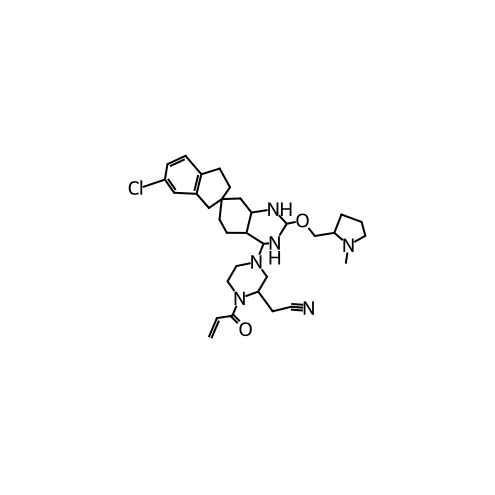 C=CC(=O)N1CCN(C2NC(OCC3CCCN3C)NC3CC4(CCc5ccc(Cl)cc5C4)CCC32)CC1CC#N